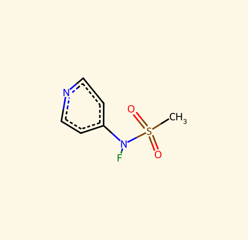 CS(=O)(=O)N(F)c1ccncc1